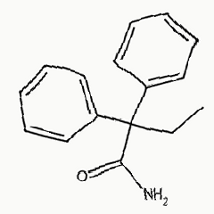 CCC(C(N)=O)(c1ccccc1)c1ccccc1